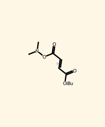 CC(C)COC(=O)/C=C/C(=O)ON(C)C